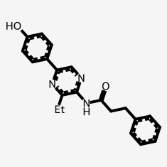 CCc1nc(-c2ccc(O)cc2)cnc1NC(=O)CCc1ccccc1